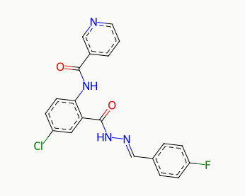 O=C(Nc1ccc(Cl)cc1C(=O)NN=Cc1ccc(F)cc1)c1cccnc1